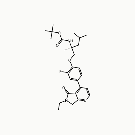 CCN1Cc2nccc(-c3ccc(OC[C@](C)(CC(C)C)NC(=O)OC(C)(C)C)c(F)c3)c2C1=O